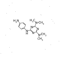 CN(C)c1nc(Nc2ccc(N)cc2)nc(N(C)C)n1